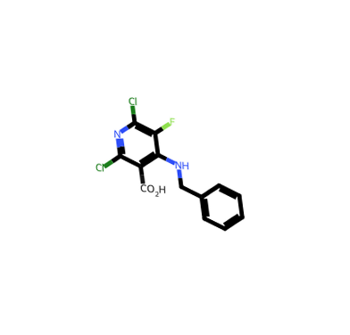 O=C(O)c1c(Cl)nc(Cl)c(F)c1NCc1ccccc1